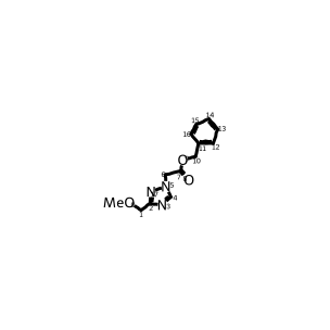 COCc1ncn(CC(=O)OCc2ccccc2)n1